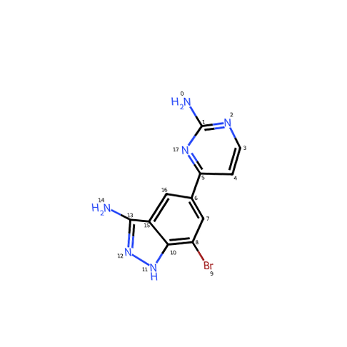 Nc1nccc(-c2cc(Br)c3[nH]nc(N)c3c2)n1